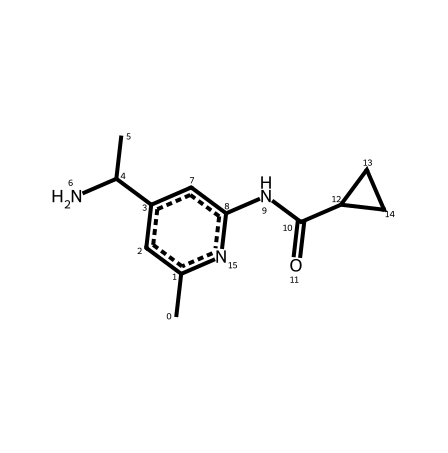 Cc1cc(C(C)N)cc(NC(=O)C2CC2)n1